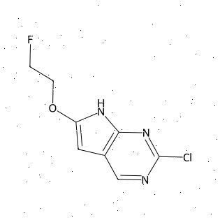 FCCOc1cc2cnc(Cl)nc2[nH]1